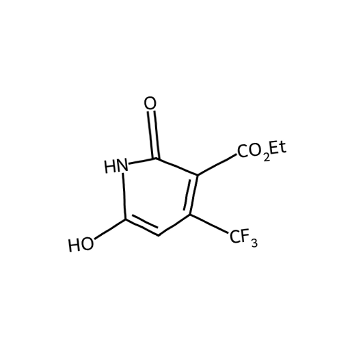 CCOC(=O)c1c(C(F)(F)F)cc(O)[nH]c1=O